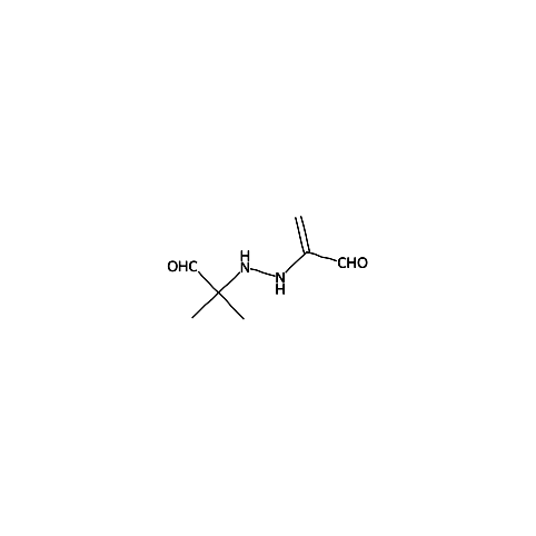 C=C(C=O)NNC(C)(C)C=O